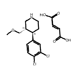 COC[C@@H]1CNCC[C@H]1c1ccc(Cl)c(Cl)c1.O=C(O)C=CC(=O)O